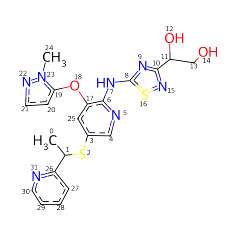 CC(Sc1cnc(Nc2nc(C(O)CO)ns2)c(Oc2ccnn2C)c1)c1ccccn1